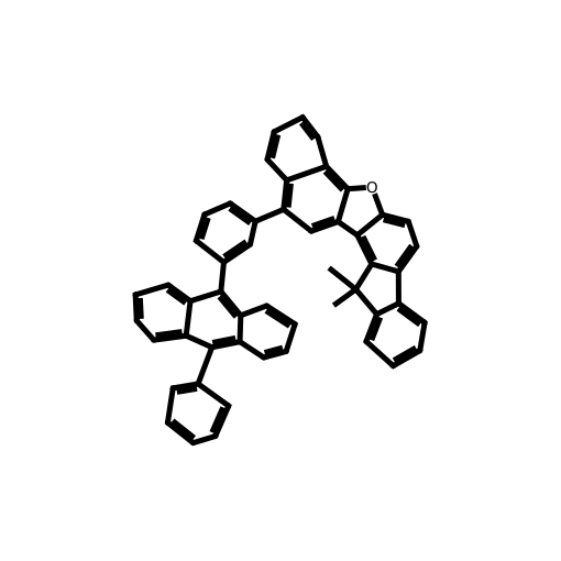 CC1(C)c2ccccc2-c2ccc3oc4c5ccccc5c(-c5cccc(-c6c7ccccc7c(-c7ccccc7)c7ccccc67)c5)cc4c3c21